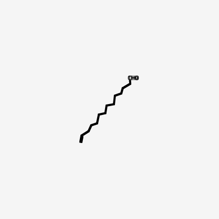 C=CCCCCCCCCCCCC=O